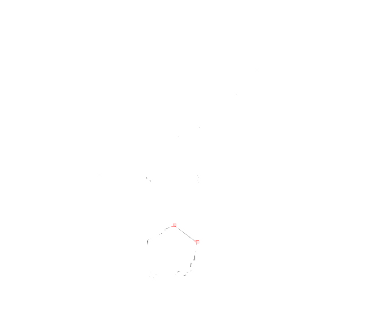 Cc1cc2c(c(N(C3=CC=C4C(=Cc5ccccc54)C34C=CC=C3C4=Cc4ccccc43)c3ccccc3-c3ccccc3)c1C)Cc1ccccc1-2